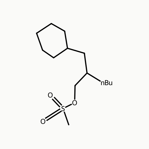 CCCCC(COS(C)(=O)=O)CC1CCCCC1